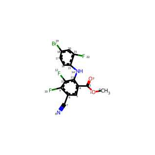 COC(=O)c1cc(C#N)c(F)c(F)c1Nc1ccc(Br)cc1F